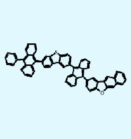 c1ccc(-c2c3ccccc3c(-c3ccc4c(c3)sc3ccc(-c5c6ccccc6c(-c6ccc7oc8cc9ccccc9cc8c7c6)c6ccccc56)cc34)c3ccccc23)cc1